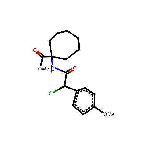 COC(=O)C1(NC(=O)C(Cl)c2ccc(OC)cc2)CCCCCC1